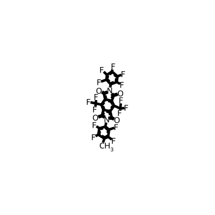 Cc1c(F)c(F)c(-n2c(=O)c3c(C(F)(F)F)c4c(=O)n(-c5c(F)c(F)c(F)c(F)c5F)c(=O)c4c(C(F)(F)F)c3c2=O)c(F)c1F